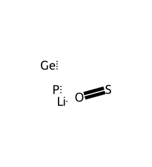 O=S.[Ge].[Li].[P]